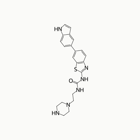 O=C(NCCN1CCNCC1)Nc1nc2ccc(-c3ccc4[nH]ccc4c3)cc2s1